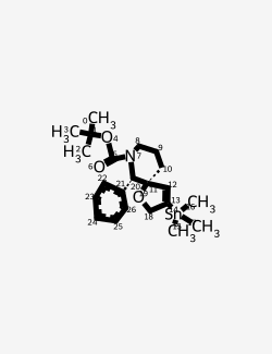 CC(C)(C)OC(=O)N1CCC[C@@]2(C=[C]([Sn]([CH3])([CH3])[CH3])CO2)[C@@H]1c1ccccc1